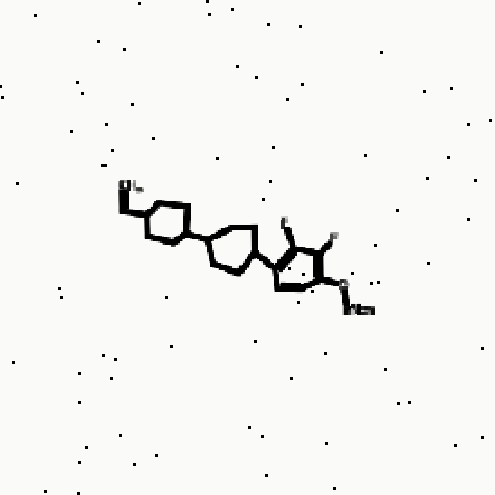 C=CC1CCC(C2CCC(c3ccc(OCCCCCCCCC)c(F)c3F)CC2)CC1